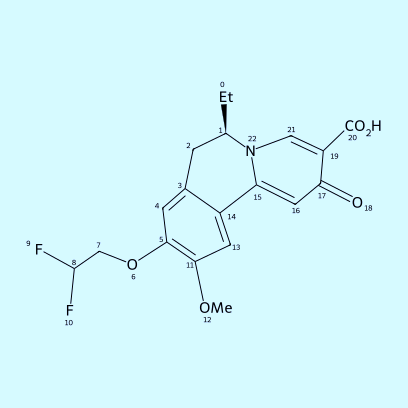 CC[C@@H]1Cc2cc(OCC(F)F)c(OC)cc2-c2cc(=O)c(C(=O)O)cn21